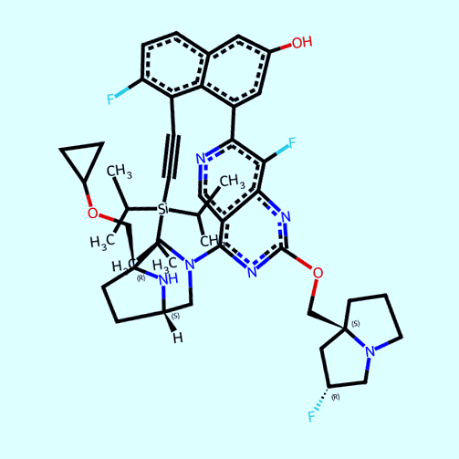 CC(C)[Si](C#Cc1c(F)ccc2cc(O)cc(-c3ncc4c(N5C[C@@H]6CC[C@](COC7CC7)(C5)N6)nc(OC[C@@]56CCCN5C[C@H](F)C6)nc4c3F)c12)(C(C)C)C(C)C